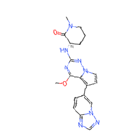 COc1nc(N[C@H]2CCCN(C)C2=O)nn2ccc(-c3ccc4ncnn4c3)c12